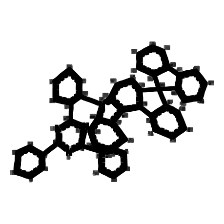 c1ccc(-c2nc(-c3ccccc3)nc(-c3ccccc3-n3c4ccccc4c4c5c(ccc43)C3(c4ccccc4-c4ccccc43)c3ccccc3-5)n2)cc1